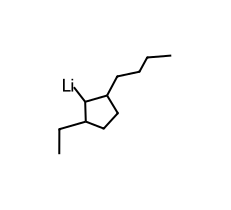 [Li][CH]1C(CC)CCC1CCCC